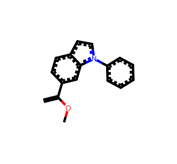 C=C(OC)c1ccc2ccn(-c3ccccc3)c2c1